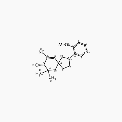 COc1ccncc1N1CCC2(C=C(C#N)C(=O)C(C)(C)C2)C1